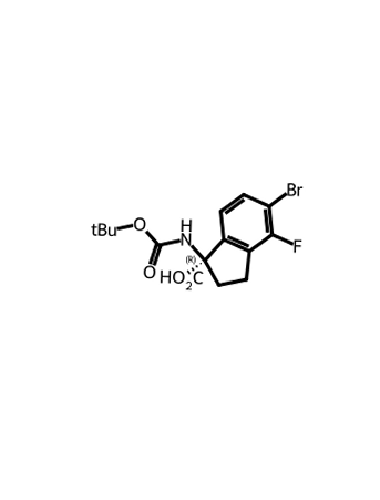 CC(C)(C)OC(=O)N[C@]1(C(=O)O)CCc2c1ccc(Br)c2F